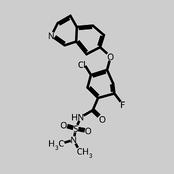 CN(C)S(=O)(=O)NC(=O)c1cc(Cl)c(Oc2ccc3ccncc3c2)cc1F